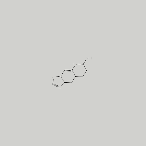 NC1CCC2CC3N=COC3C=C2N1